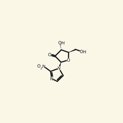 O=C1[C@H](n2ccnc2[N+](=O)[O-])O[C@H](CO)[C@H]1O